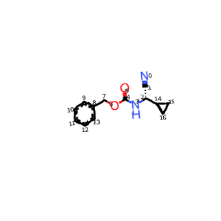 N#C[C@@H](NC(=O)OCc1ccccc1)C1CC1